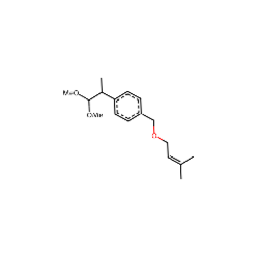 COC(OC)C(C)c1ccc(COCC=C(C)C)cc1